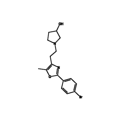 Cc1oc(-c2ccc(Br)cc2)nc1CCN1CCC(O)C1